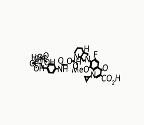 COc1c(N2C[C@@H]3CCCN(C(=O)OCC(=O)Nc4ccc(CC(P(=O)(O)O)P(=O)(O)O)cc4)[C@@H]3C2)c(F)cc2c(=O)c(C(=O)O)cn(C3CC3)c12